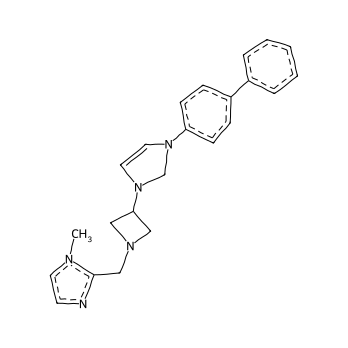 Cn1ccnc1CN1CC(N2C=CN(c3ccc(-c4ccccc4)cc3)C2)C1